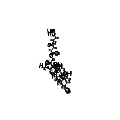 C[C@@H]1C[C@H]2[C@@H]3CCC4=CC(=O)C=C[C@]4(C)[C@@]3(F)[C@@H](O)C[C@]2(C)[C@@]1(O)C(=O)COC(=O)CCC(=O)OCCO